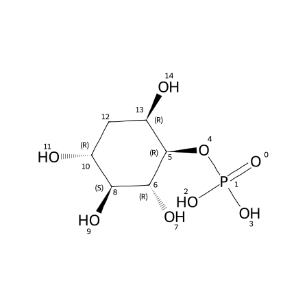 O=P(O)(O)O[C@H]1[C@H](O)[C@@H](O)[C@H](O)C[C@H]1O